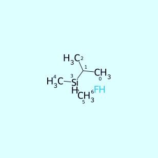 CC(C)[SiH](C)C.F